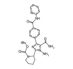 CC(C)(C)OC(=O)N1CCCCC1c1nc(-c2ccc(C(=O)Nc3ccccn3)cc2)c(C(N)=O)n1N